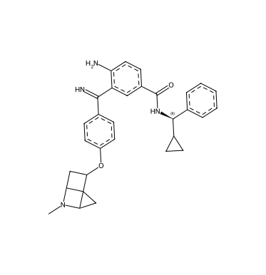 CN1C2CC(Oc3ccc(C(=N)c4cc(C(=O)N[C@@H](c5ccccc5)C5CC5)ccc4N)cc3)C23CC13